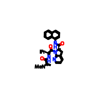 CN[C@@H](C)C(=O)N[C@H](C(=O)N1c2ncccc2C[C@H]1C(=O)Nc1cccc2ccccc12)C(C)C